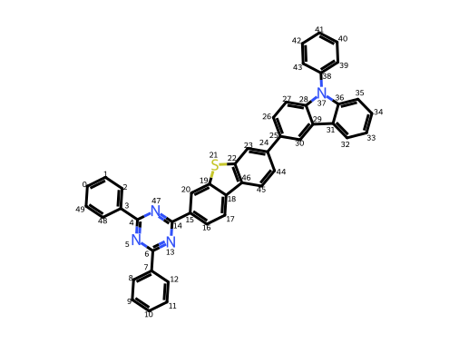 c1ccc(-c2nc(-c3ccccc3)nc(-c3ccc4c(c3)sc3cc(-c5ccc6c(c5)c5ccccc5n6-c5ccccc5)ccc34)n2)cc1